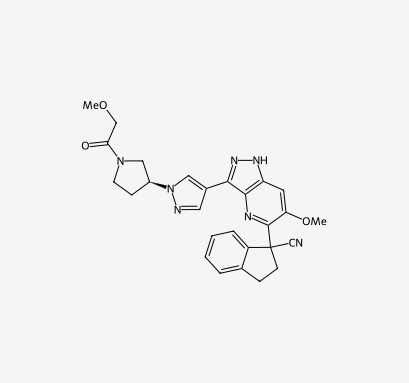 COCC(=O)N1CC[C@H](n2cc(-c3n[nH]c4cc(OC)c(C5(C#N)CCc6ccccc65)nc34)cn2)C1